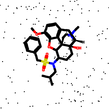 COc1ccc2c3c1OC1C(N(CC(C)C)S(=O)(=O)Cc4ccccc4)CC[C@@]4(O)[C@@H](C2)N(C)CC[C@]314